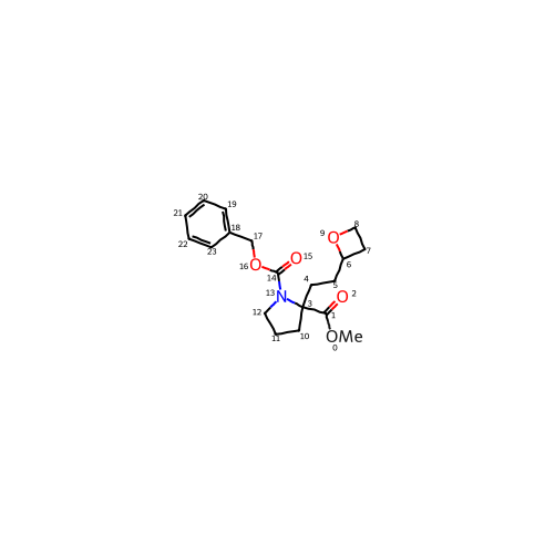 COC(=O)C1(CCC2CCO2)CCCN1C(=O)OCc1ccccc1